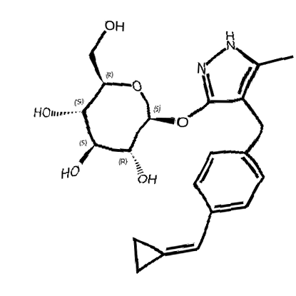 Cc1[nH]nc(O[C@@H]2O[C@H](CO)[C@@H](O)[C@H](O)[C@H]2O)c1Cc1ccc(C=C2CC2)cc1